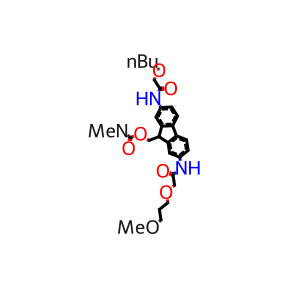 CCCCOCC(=O)Nc1ccc2c(c1)C(COC(=O)NC)c1cc(NC(=O)COCCCOC)ccc1-2